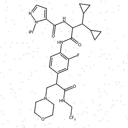 CC(C)n1nccc1C(=O)NC(C(=O)Nc1ccc(C(CN2CCOCC2)C(=O)NCC(F)(F)F)cc1F)C(C1CC1)C1CC1